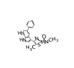 CNC(=O)c1nc(-c2c[nH]c3c2C=C(c2ccccc2)CN3)c(C)s1